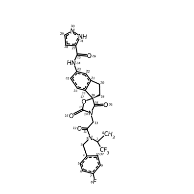 CC(N(Cc1ccc(F)cc1)C(=O)CN1C(=O)O[C@@]2(CCc3cc(NC(=O)c4ccn[nH]4)ccc32)C1=O)C(F)(F)F